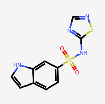 O=S(=O)(Nc1ncns1)c1ccc2cc[nH]c2c1